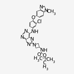 Cn1cnc2cc(Oc3ccc(Nc4ncnc5cnc(N6CC(NC(=O)OC(C)(C)C)C6)nc45)cc3Cl)ccc21